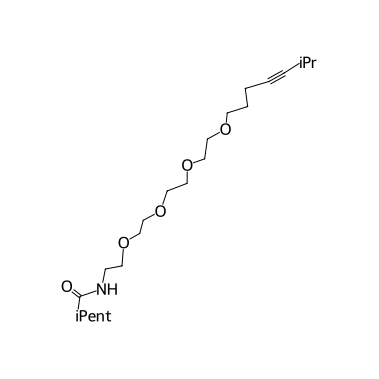 CCCC(C)C(=O)NCCOCCOCCOCCOCCCC#CC(C)C